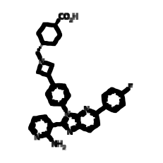 Nc1ncccc1-c1nc2ccc(-c3ccc(F)cc3)nc2n1-c1ccc(C2CN(C[C@H]3CC[C@H](C(=O)O)CC3)C2)cc1